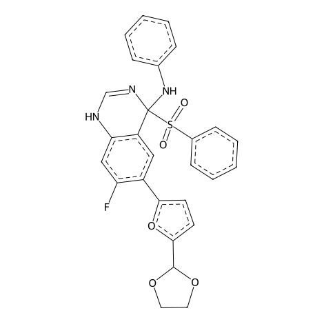 O=S(=O)(c1ccccc1)C1(Nc2ccccc2)N=CNc2cc(F)c(-c3ccc(C4OCCO4)o3)cc21